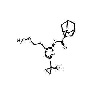 COCCn1cc(C2(C)CC2)sc1=NC(=O)C12CC3CC(CC1C3)C2